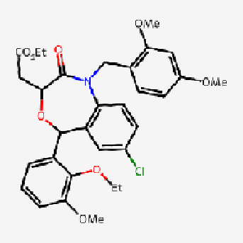 CCOC(=O)CC1OC(c2cccc(OC)c2OCC)c2cc(Cl)ccc2N(Cc2ccc(OC)cc2OC)C1=O